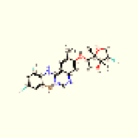 COc1cc2c(Nc3c(F)cc(F)cc3Br)ncnc2cc1OC1CO[C@H]2[C@H](F)CO[C@@H]12